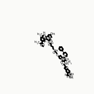 Cc1ncsc1-c1ccc(C(C)NC(=O)[C@@H]2C[C@@H](O)CN2C(=O)C(NC(=O)CCCNC(=O)CO[C@H]2C[C@@H](C(=O)N3CCC[C@H](c4ccccc4)C3)N(C(=O)C(NC(=O)c3cc4cc(C(F)(F)P(=O)(O)O)ccc4s3)C(C)(C)C)C2)C(C)(C)C)cc1